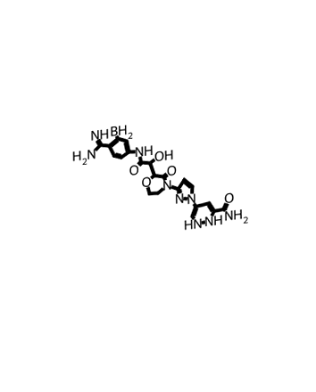 Bc1cc(NC(=O)C(O)C2OCCN(c3ccn(C4=CNNC(C(N)=O)=C4)n3)C2=O)ccc1C(=N)N